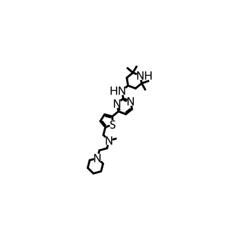 CN(CCN1CCCCC1)Cc1ccc(-c2ccnc(NC3CC(C)(C)NC(C)(C)C3)n2)s1